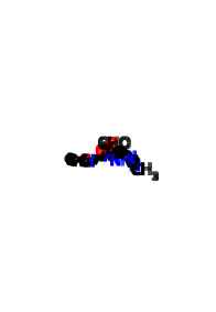 CN1CCN(Cc2ccc3c(c2)NCN(CCCCN2CC=C(c4ccccc4)CC2)C3C(=O)C(=O)C=O)CC1